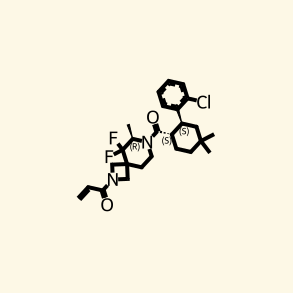 C=CC(=O)N1CC2(CCN(C(=O)[C@H]3CCC(C)(C)C[C@@H]3c3ccccc3Cl)[C@H](C)C2(F)F)C1